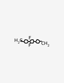 C=CC1CCC(C2CC(F)C(C3CCC(C=C)CC3)C(F)C2)CC1